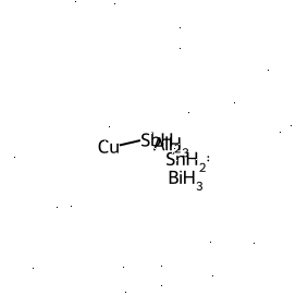 [AlH3].[BiH3].[Cu][SbH2].[SnH2]